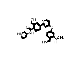 CCc1cc(-c2cc(Oc3ccc(C=N)c(NC)c3)ccn2)ccc1C(=O)N[C@@H]1CCNC1